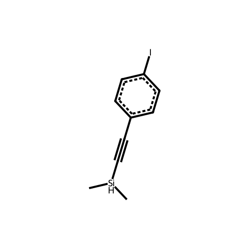 C[SiH](C)C#Cc1ccc(I)cc1